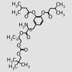 CC(C)CC(=O)Oc1ccc(C[C@H](N)C(=O)O[C@@H](C)COC(=O)OCC(C)(C)C)cc1OC(=O)CC(C)C